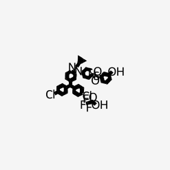 O=C(O)C(F)(F)F.O=S(=O)(c1cccc(O)c1)N1CCC(n2c(C3CC3)nc3ccc(C(c4ccc(Cl)cc4)c4ccc(Cl)cc4)cc32)CC1